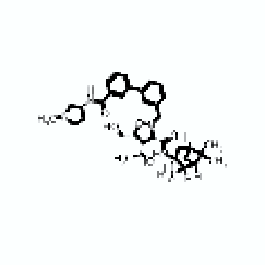 C[C@@H]1[C@@H](NC(=O)[C@@H]2[C@H]([C@H](C)O)[C@H](CO)ON2Cc2cccc(-c3cccc(C(=O)N[C@H]4CCN(C)C4)c3)c2)C[C@H]2C[C@@H]1C2(C)C